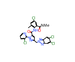 CNC(=O)c1cc(Cl)cc(C)c1NC(=O)c1cc(Cn2nc3cc(Cl)c(Cl)cc3n2)nn1-c1ncccc1Cl